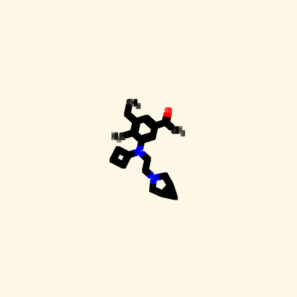 CCc1cc(C(C)=O)cc(N(CCN2CC3CC3C2)C2CCC2)c1C